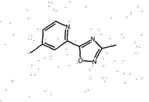 [CH2]c1ccnc(-c2nc(C)no2)c1